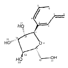 C=C/C=C(\C=C/C)[C@H]1O[C@H](CO)[C@@H](O)[C@H](O)[C@@H]1O